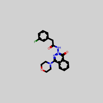 O=C(Cc1cccc(F)c1)Nn1nc(N2CCOCC2)c2ccccc2c1=O